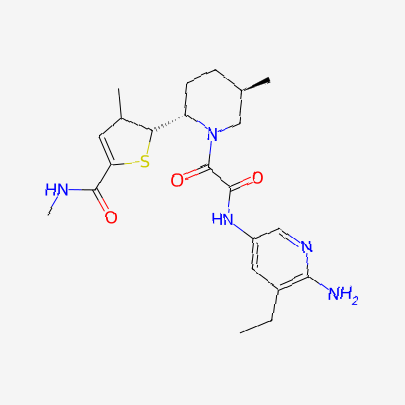 CCc1cc(NC(=O)C(=O)N2C[C@H](C)CC[C@H]2C2SC(C(=O)NC)=CC2C)cnc1N